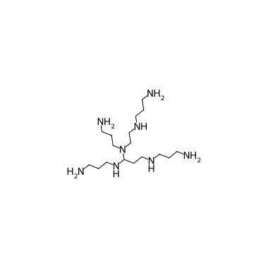 NCCCNCCC(NCCCN)N(CCCN)CCNCCCN